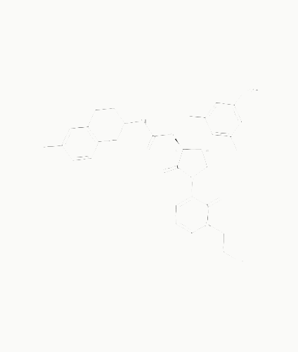 COc1cc(F)c([C@@H]2CN(c3cccn(CCO)c3=O)C(=O)[C@H]2NC(=O)NC2CCc3cc(Cl)ccc3C2)c(F)c1